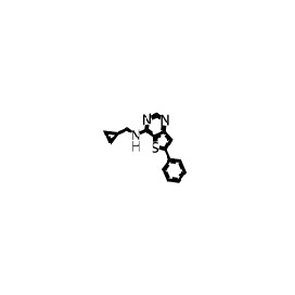 c1ccc(-c2cc3ncnc(NCC4CC4)c3s2)cc1